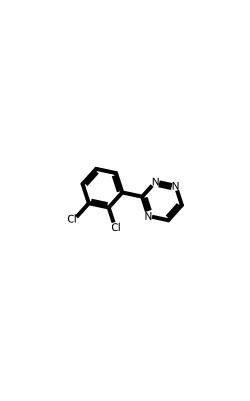 Clc1cccc(-c2nccnn2)c1Cl